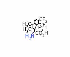 CC(CC(CN)C(=O)O)C(C)c1ccc(C(F)(F)F)c(C(F)(F)F)c1C(F)(F)F